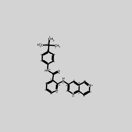 CC(C)(C)c1ccc(NC(=O)c2cccnc2Nc2cnc3ccncc3c2)cc1